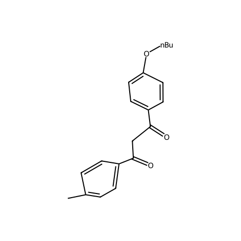 CCCCOc1ccc(C(=O)CC(=O)c2ccc(C)cc2)cc1